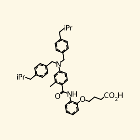 Cc1cc(N(Cc2ccc(CC(C)C)cc2)Cc2ccc(CC(C)C)cc2)ccc1C(=O)Nc1ccccc1OCCCC(=O)O